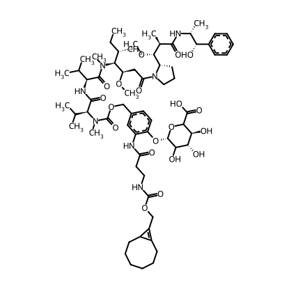 CC[C@H](C)[C@@H]([C@@H](CC(=O)N1CCC[C@H]1[C@H](OC)[C@@H](C)C(=O)N[C@H](C)[C@@H](O)c1ccccc1)OC)N(C)C(=O)[C@@H](NC(=O)[C@H](C(C)C)N(C)C(=O)OCc1ccc(O[C@@H]2OC(C(=O)O)[C@@H](O)[C@H](O)C2O)c(NC(=O)CCNC(=O)OCC2=C3CCCCCCC32)c1)C(C)C